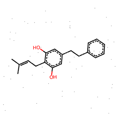 CC(C)=CCc1c(O)cc(CCc2ccccc2)cc1O